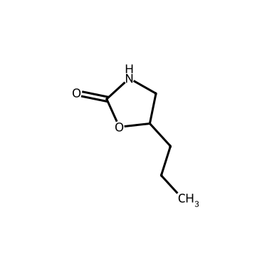 CCCC1CNC(=O)O1